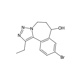 CCc1nnn2c1-c1ccc(Br)cc1C(O)CC2